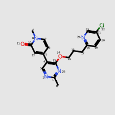 Cc1ncc(-c2ccn(C)c(=O)c2)c(OCCCc2ccc(Cl)cn2)n1